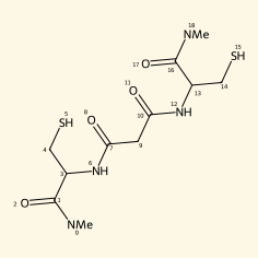 CNC(=O)C(CS)NC(=O)CC(=O)NC(CS)C(=O)NC